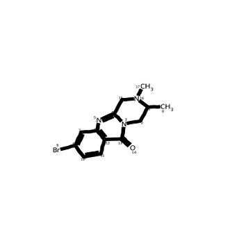 CC1Cn2c(nc3cc(Br)ccc3c2=O)CN1C